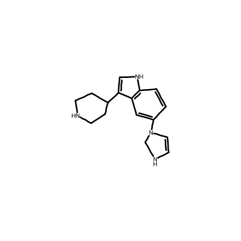 C1=CN(c2ccc3[nH]cc(C4CCNCC4)c3c2)CN1